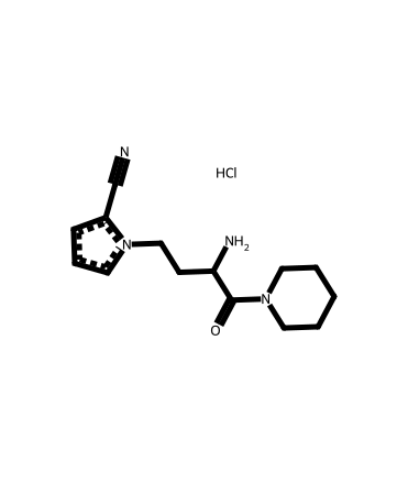 Cl.N#Cc1cccn1CCC(N)C(=O)N1CCCCC1